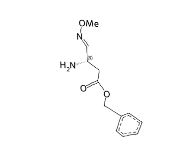 CON=C[C@@H](N)CC(=O)OCc1ccccc1